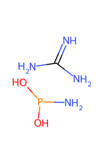 N=C(N)N.NP(O)O